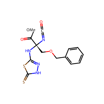 COC(=O)[C@](COCc1ccccc1)(N=C=O)Nc1n[nH]c(=S)s1